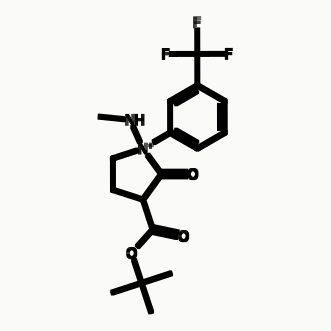 CN[N+]1(c2cccc(C(F)(F)F)c2)CCC(C(=O)OC(C)(C)C)C1=O